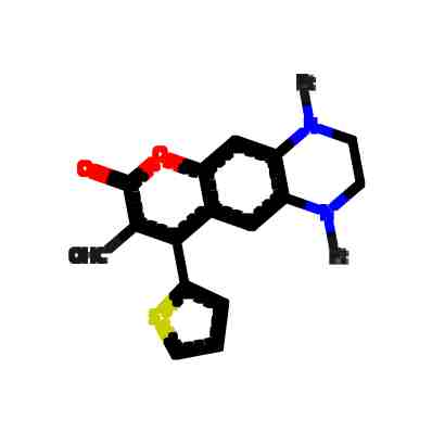 CCN1CCN(CC)c2cc3c(-c4cccs4)c(C=O)c(=O)oc3cc21